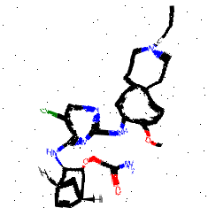 CCCN1CCc2cc(Nc3ncc(Cl)c(N[C@H]4[C@@H](OC(N)=O)[C@@H]5C=C[C@H]4C5)n3)c(OC)cc2CC1